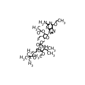 CCOc1nc(N)nc2c1ncn2[C@@H]1O[C@H](COP(=O)(N[C@H](C(=O)OC)C(C)C)OCCSC(=O)C(C)(C)C)[C@@H](CF)[C@H]1OC(C)=O